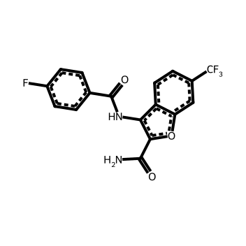 NC(=O)c1oc2cc(C(F)(F)F)ccc2c1NC(=O)c1ccc(F)cc1